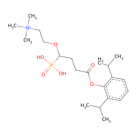 CC(C)c1cccc(C(C)C)c1OC(=O)CCC(OCC[N+](C)(C)C)P(=O)(O)O